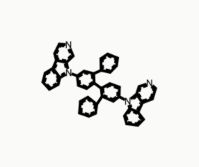 c1ccc(-c2cc(-n3c4ccccc4c4ccncc43)ccc2-c2ccc(-n3c4ccccc4c4ccncc43)cc2-c2ccccc2)cc1